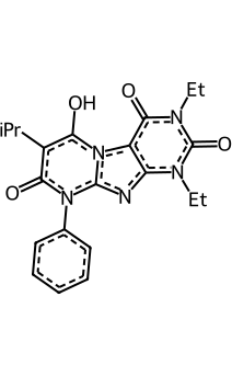 CCn1c(=O)c2c(nc3n(-c4ccccc4)c(=O)c(C(C)C)c(O)n23)n(CC)c1=O